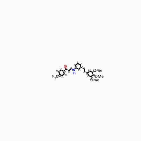 COc1cc(C=Cc2cccc(NC=CC(=O)c3ccc(C(F)(F)F)cc3)c2)cc(OC)c1OC